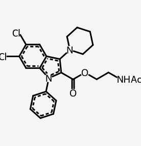 CC(=O)NCCOC(=O)c1c(N2CCCCC2)c2cc(Cl)c(Cl)cc2n1-c1ccccc1